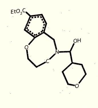 CCOC(=O)c1ccc2c(c1)OCCCN(C(O)C1CCOCC1)C2